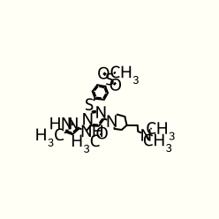 COc1c(Nc2cc(C)[nH]n2)nc(Sc2ccc(S(C)(=O)=O)cc2)nc1N1CCC(CCN(C)C)CC1